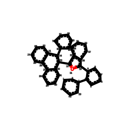 c1ccc(-c2ccccc2-c2oc(-c3c(-c4ccccc4)c4ccccc4c4ccccc34)c3ccccc23)cc1